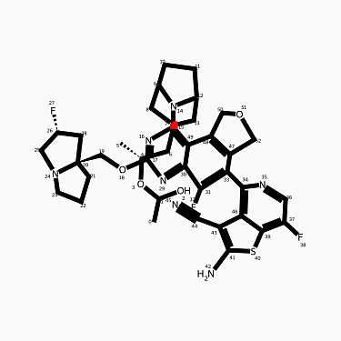 CC(O)O[C@H](C)CN1CC2CCC(C1)N2c1nc(OC[C@@]23CCCN2C[C@H](F)C3)nc2c(F)c(-c3ncc(F)c4sc(N)c(C#N)c34)c3c(c12)COC3